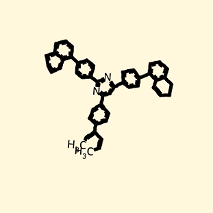 C/C=C\C(=C/C)c1ccc(-c2cc(-c3ccc(-c4cccc5c4C=CCC5)cc3)nc(-c3ccc(-c4cccc5ccccc45)cc3)n2)cc1